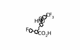 O=C(O)c1ccc(-c2ccc(F)cc2)cc1CCc1cccc(NS(=O)(=O)c2ccc(C(F)(F)F)cc2)c1